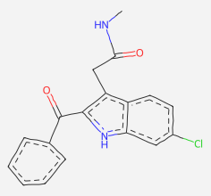 CNC(=O)Cc1c(C(=O)c2ccccc2)[nH]c2cc(Cl)ccc12